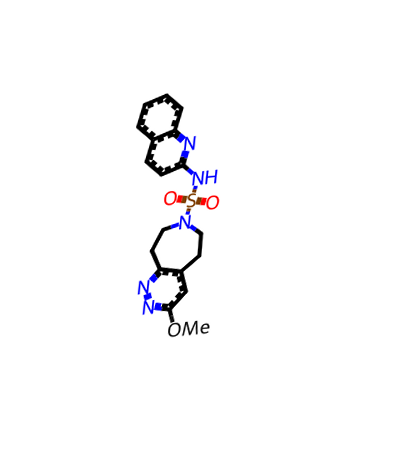 COc1cc2c(nn1)CCN(S(=O)(=O)Nc1ccc3ccccc3n1)CC2